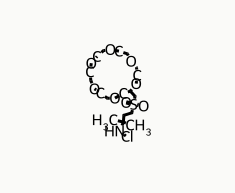 CC(C)(CCS(=O)(=O)CC1COCCOCCOCCOCCOCCO1)NCl